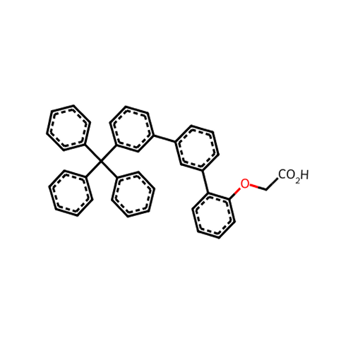 O=C(O)COc1ccccc1-c1cccc(-c2cccc(C(c3ccccc3)(c3ccccc3)c3ccccc3)c2)c1